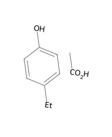 CC(=O)O.CCc1ccc(O)cc1